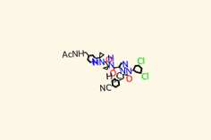 CC(=O)NCc1ccnc(C2(NC(=O)C3(NC(=O)c4cnc5n4[C@](C)(Cc4ccc(C#N)cc4)C(=O)N5c4cc(Cl)cc(Cl)c4)CC3)CC2)c1